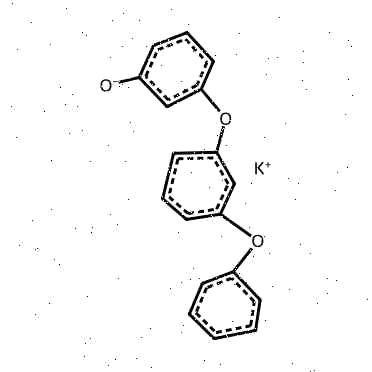 [K+].[O-]c1cccc(Oc2cccc(Oc3ccccc3)c2)c1